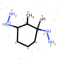 CCCC1(NN)CCCC(NN)C1C